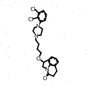 O=C1CCc2cccc3c2N1CC3OCCCCN1CCN(c2cccc(Cl)c2Cl)CC1